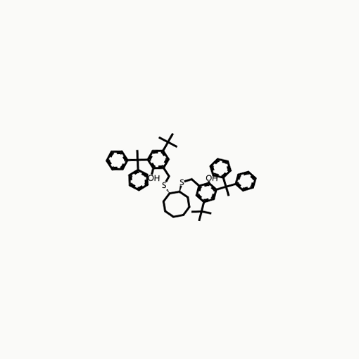 CC(C)(C)c1cc(CS[C@H]2CCCCCC[C@@H]2SCc2cc(C(C)(C)C)cc(C(C)(c3ccccc3)c3ccccc3)c2O)c(O)c(C(C)(c2ccccc2)c2ccccc2)c1